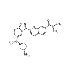 CN(C)C(=O)c1ccc2ccc(-c3nnc4ccc([C@@H](N5CCC(N)C5)C(F)(F)F)cn34)nc2c1